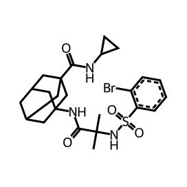 CC(C)(NS(=O)(=O)c1ccccc1Br)C(=O)NC12CC3CC(C1)CC(C(=O)NC1CC1)(C3)C2